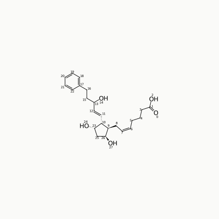 O=C(O)CCC/C=C\C[C@@H]1[C@@H](/C=C/C(O)CCc2ccccc2)[C@@H](O)C[C@@H]1O